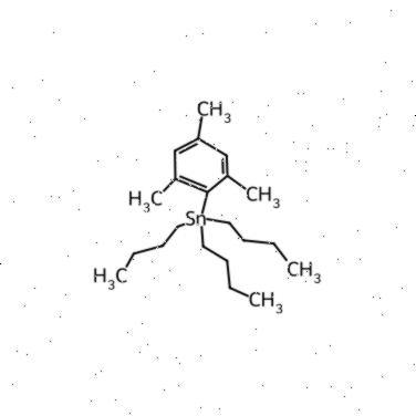 CCC[CH2][Sn]([CH2]CCC)([CH2]CCC)[c]1c(C)cc(C)cc1C